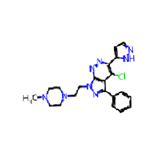 CN1CCN(CCn2nc(-c3ccccc3)c3c(Cl)c(-c4ccn[nH]4)nnc32)CC1